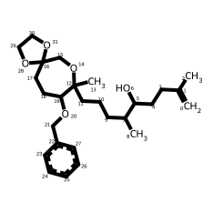 C=C(C)CCC(O)C(C)CCCC1(C)OCC2(CCC1OCc1ccccc1)OCCO2